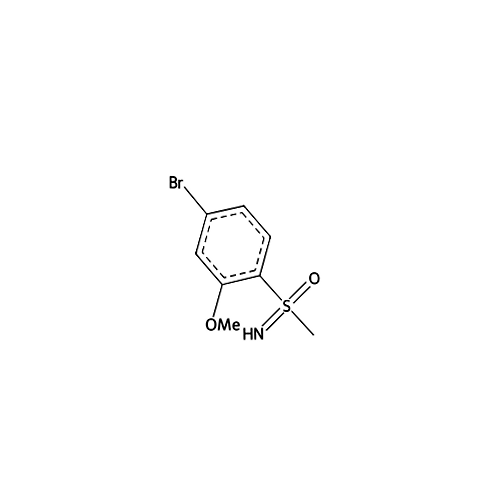 COc1cc(Br)ccc1S(C)(=N)=O